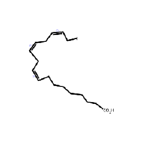 O=C(O)CCCCCCC/C=C\C/C=C\C/C=C\CI